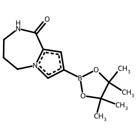 CC1(C)OB(c2cc3n(c2)CCCNC3=O)OC1(C)C